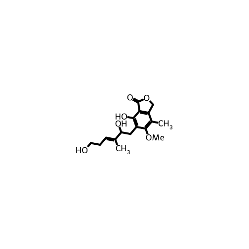 COc1c(C)c2c(c(O)c1CC(O)/C(C)=C/CCO)C(=O)OC2